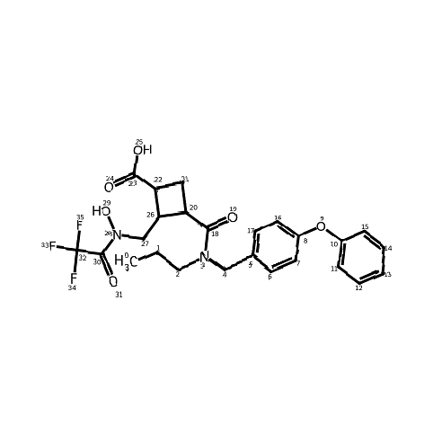 CCCN(Cc1ccc(Oc2ccccc2)cc1)C(=O)C1CC(C(=O)O)C1CN(O)C(=O)C(F)(F)F